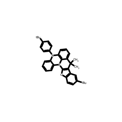 CC(C)(C)c1ccc(N2c3ccccc3B3c4oc5ccc(C(C)(C)C)cc5c4C(C)(C)c4cccc2c43)cc1